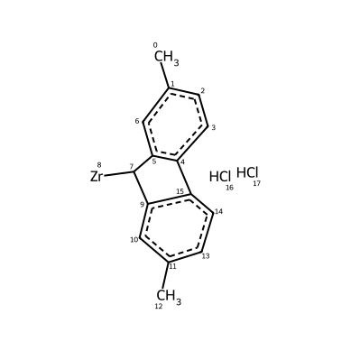 Cc1ccc2c(c1)[CH]([Zr])c1cc(C)ccc1-2.Cl.Cl